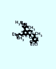 CCOc1cc([C@H](C)N2CCc3c(cc(CCN(C)CC)cc3-c3cn(C)nc3C)C2=O)ncc1Cl